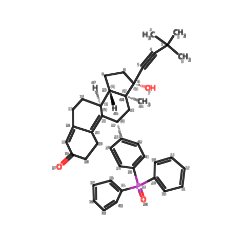 CC(C)(C)C#C[C@]1(O)CC[C@H]2[C@@H]3CCC4=CC(=O)CCC4=C3[C@@H](c3ccc(P(=O)(c4ccccc4)c4ccccc4)cc3)C[C@@]21C